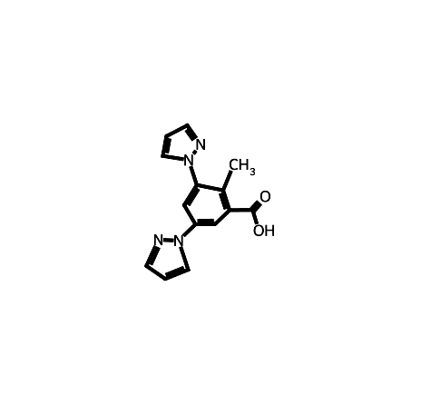 Cc1c(C(=O)O)cc(-n2cccn2)cc1-n1cccn1